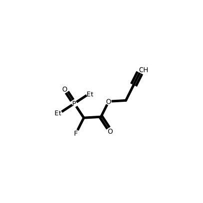 C#CCOC(=O)C(F)P(=O)(CC)CC